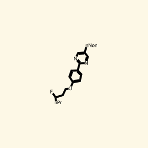 CCCCCCCCCc1cnc(-c2ccc(OCCC(F)CCC)cc2)nc1